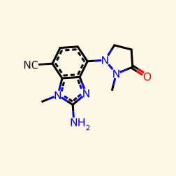 CN1C(=O)CCN1c1ccc(C#N)c2c1nc(N)n2C